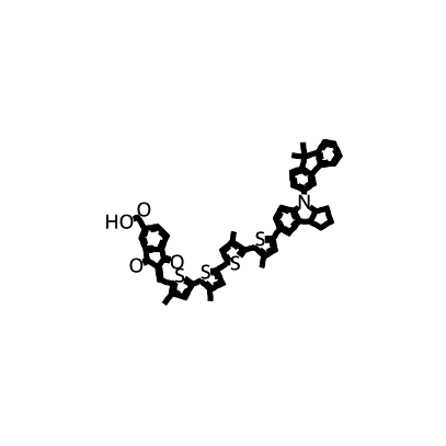 Cc1cc(-c2sc(-c3cc(C)c(-c4sc(-c5ccc6c(c5)C5CCCC5N6c5ccc6c(c5)-c5ccccc5C6(C)C)cc4C)s3)cc2C)sc1/C=C1\C(=O)c2ccc(C(=O)O)cc2C1=O